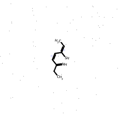 C/C=C(S)\C=C/C(=N)CC